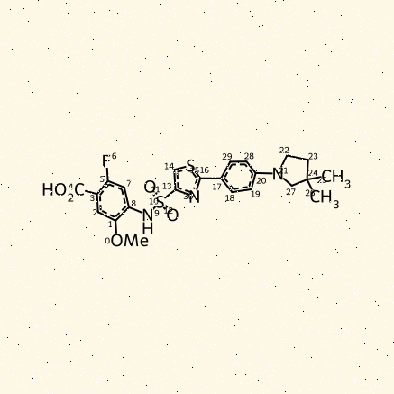 COc1cc(C(=O)O)c(F)cc1NS(=O)(=O)c1csc(-c2ccc(N3CCC(C)(C)C3)cc2)n1